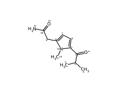 CC(C)C(=O)c1ccc(CC(N)=O)n1C